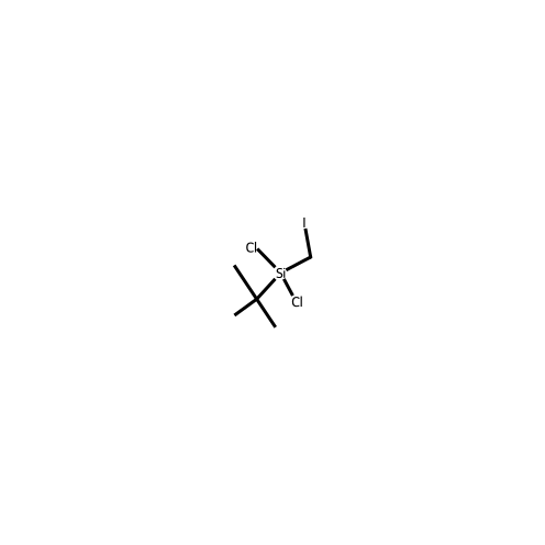 CC(C)(C)[Si](Cl)(Cl)CI